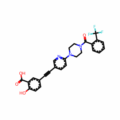 O=C(O)c1cc(C#Cc2ccc(N3CCN(C(=O)c4ccccc4C(F)(F)F)CC3)nc2)ccc1O